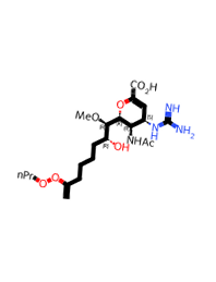 C=C(CCCC[C@@H](O)[C@@H](OC)[C@@H]1OC(C(=O)O)=C[C@H](NC(=N)N)[C@H]1NC(C)=O)OOCCC